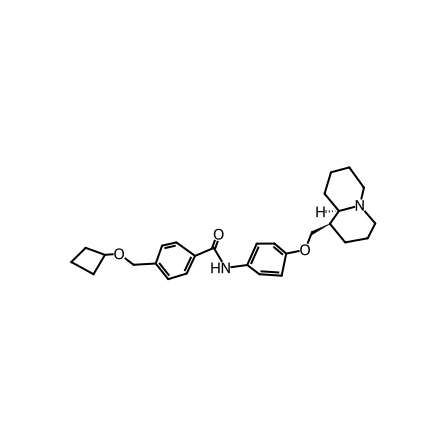 O=C(Nc1ccc(OC[C@@H]2CCCN3CCCC[C@H]23)cc1)c1ccc(COC2CCC2)cc1